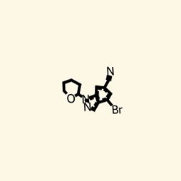 N#Cc1cc(Br)c2cnn(C3CCCCO3)c2c1